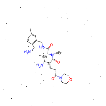 CBC(N)[C@H](CCC(=O)N1CCOCC1)C(=O)N(CCC)CC(=O)NCc1cc(C)ccc1CN